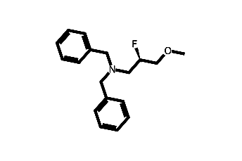 COC[C@H](F)CN(Cc1ccccc1)Cc1ccccc1